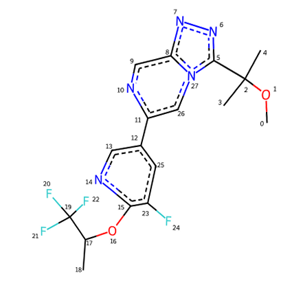 COC(C)(C)c1nnc2cnc(-c3cnc(OC(C)C(F)(F)F)c(F)c3)cn12